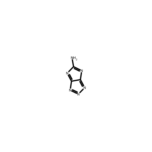 NC1=NC2=NN=NC2=N1